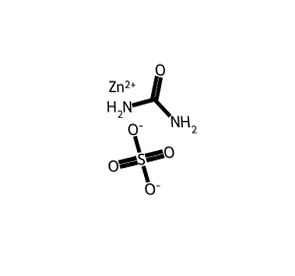 NC(N)=O.O=S(=O)([O-])[O-].[Zn+2]